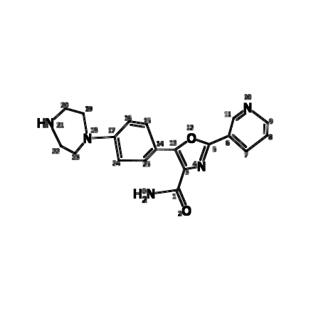 NC(=O)c1nc(-c2cccnc2)oc1-c1ccc(N2CCNCC2)cc1